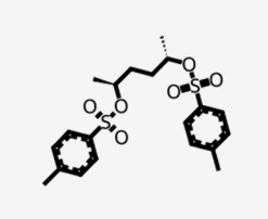 Cc1ccc(S(=O)(=O)O[C@@H](C)CC[C@H](C)OS(=O)(=O)c2ccc(C)cc2)cc1